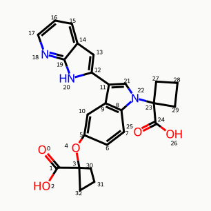 O=C(O)C1(Oc2ccc3c(c2)c(-c2cc4cccnc4[nH]2)cn3C2(C(=O)O)CCC2)CCC1